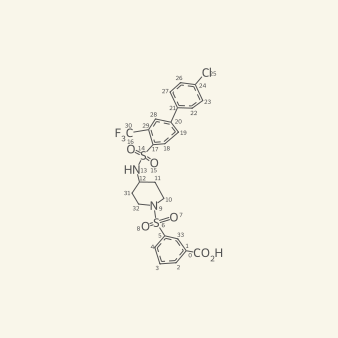 O=C(O)c1cccc(S(=O)(=O)N2CCC(NS(=O)(=O)c3ccc(-c4ccc(Cl)cc4)cc3C(F)(F)F)CC2)c1